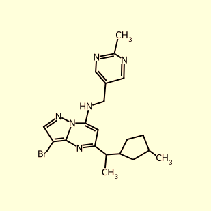 Cc1ncc(CNc2cc(C(C)C3CCC(C)C3)nc3c(Br)cnn23)cn1